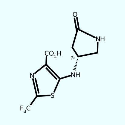 O=C1C[C@@H](Nc2sc(C(F)(F)F)nc2C(=O)O)CN1